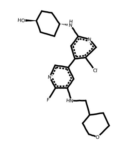 O[C@H]1CC[C@H](Nc2cc(-c3cnc(F)c(NCC4CCOCC4)c3)c(Cl)cn2)CC1